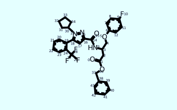 O=C(CC(COc1ccc(F)cc1)NC(=O)c1cc(-c2ccccc2C(F)(F)F)n(C2CCCC2)n1)OCc1ccccc1